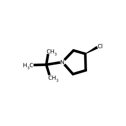 CC(C)(C)N1CC[C@H](Cl)C1